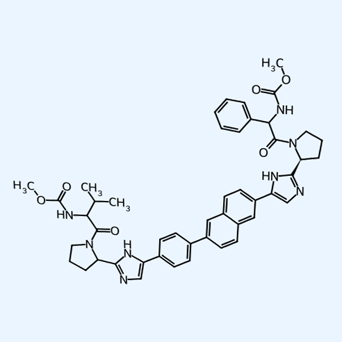 COC(=O)NC(C(=O)N1CCC[C@H]1c1ncc(-c2ccc3cc(-c4ccc(-c5cnc(C6CCCN6C(=O)C(NC(=O)OC)C(C)C)[nH]5)cc4)ccc3c2)[nH]1)c1ccccc1